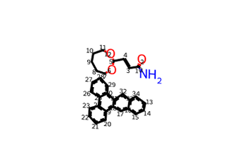 NC(=O)C=CC1OCCCCCO1.c1ccc2cc3c4ccccc4c4ccccc4c3cc2c1